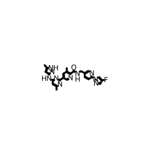 Cc1cc(Nc2cc(C)[nH]n2)nc(-c2cnc(C(=O)NCc3ccc(-n4cc(F)cn4)nc3)c(C)c2)n1